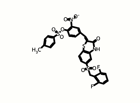 Cc1ccc(S(=O)(=O)Oc2ccc(C=C3Sc4ccc(S(=O)(=O)Cc5c(F)cccc5F)cc4NC3=O)cc2[N+](=O)[O-])cc1